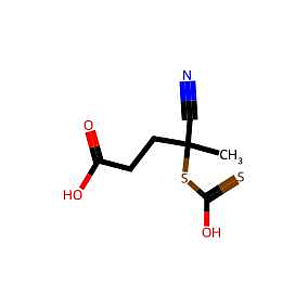 CC(C#N)(CCC(=O)O)SC(O)=S